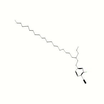 C#Cc1ccc(CCC(CCC)CCCCCCCCCCCCCCCCCCCC)cc1Cl